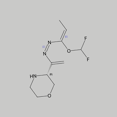 C=C(/N=N\C(=C/C)OC(F)F)[C@@H]1COCCN1